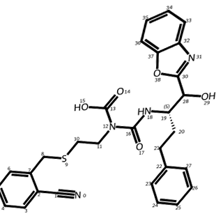 N#Cc1ccccc1CSCCN(C(=O)O)C(=O)N[C@@H](CCc1ccccc1)C(O)c1nc2ccccc2o1